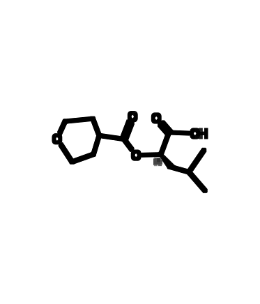 CC(C)C[C@@H](OC(=O)C1CCOCC1)C(=O)O